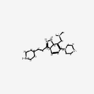 CN(C)CC1=C(N2CCOCC2)C=CC2C(CCC3CCNCC3)=NOC12